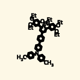 CCOc1cc(OCC)c(-c2cc(-c3ccc(-c4ccc(N(c5ccc(C)cc5)c5ccc(C)cc5)cc4)cc3)cc(-c3cc(OCC)c(OCC)cc3OCC)n2)cc1OCC